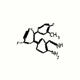 Cc1cc(-c2ncc(F)cc2-c2ccc(N)c(C=N)c2)ccc1F